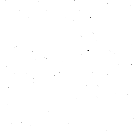 COc1cc2ncnc(-c3ccc(NC(=O)Cc4ccc(C(F)(F)F)cc4)cc3)c2cc1OCCCN1C[C@H]2C[C@@H]1CN2C